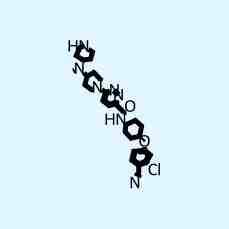 CN(C1CCNCC1)C1CCN(c2ccc(C(=O)N[C@H]3CC[C@H](Oc4ccc(C#N)c(Cl)c4)CC3)nn2)CC1